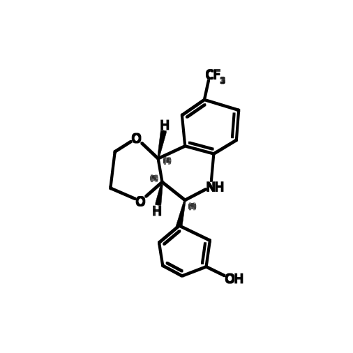 Oc1cccc([C@@H]2Nc3ccc(C(F)(F)F)cc3[C@H]3OCCO[C@H]32)c1